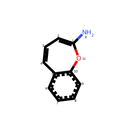 NC1=CC=Cc2ccccc2O1